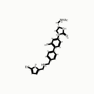 CCc1ccc(CNCc2ccc(-c3ccc(N4C[C@H](CNC(C)=O)OC4=O)cc3F)cc2)s1